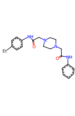 CCc1ccc(NC(=O)CN2CCN(CC(=O)Nc3ccccc3)CC2)cc1